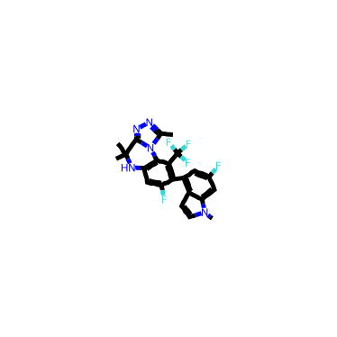 Cc1nnc2n1-c1c(cc(F)c(-c3cc(F)cc4c3ccn4C)c1C(F)(F)F)NC2(C)C